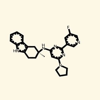 C[C@]1(Nc2cc(N3CCCC3)nc(-c3cncc(F)c3)n2)CCc2[nH]c3ccccc3c2C1